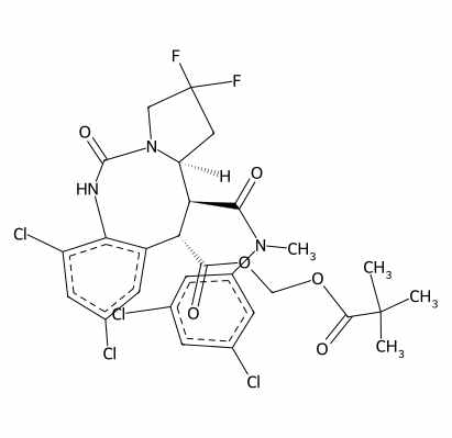 CN(C(=O)[C@H]1[C@H](C(=O)OCOC(=O)C(C)(C)C)c2cc(Cl)cc(Cl)c2NC(=O)N2CC(F)(F)C[C@@H]12)c1cc(Cl)cc(Cl)c1